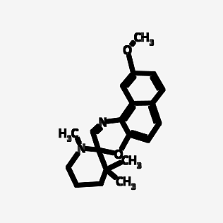 COc1ccc2ccc3c(c2c1)N=CC1(O3)N(C)CCCC1(C)C